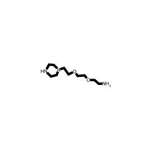 NCCOCCOCCN1CCNCC1